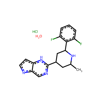 CC1CC(c2ncc3nccc-3[nH]2)CC(c2c(F)cccc2F)N1.Cl.O